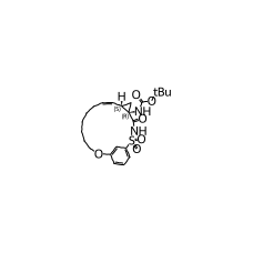 CC(C)(C)OC(=O)N[C@]12C[C@H]1C=CCCCCCCOc1cccc(c1)S(=O)(=O)NC2=O